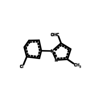 Cc1cc(C=O)n(-c2cccc(Cl)c2)n1